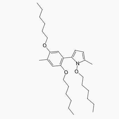 CCCCCCOc1cc(-c2ccc(C)n2OCCCCCC)c(OCCCCCC)cc1C